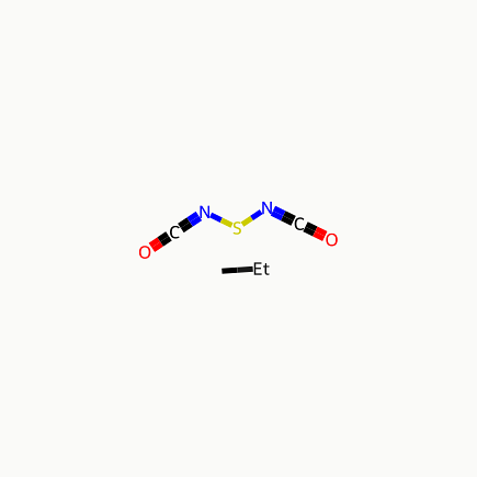 CCC.O=C=NSN=C=O